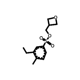 CCc1cc(S(=O)(=O)OCC2COC2)ccc1C